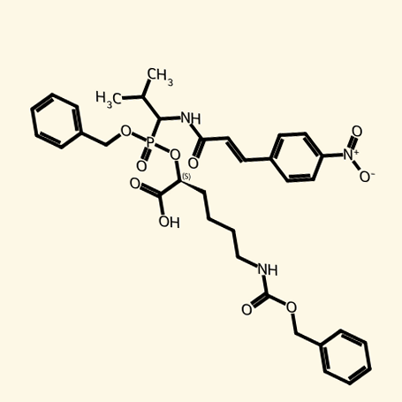 CC(C)C(NC(=O)C=Cc1ccc([N+](=O)[O-])cc1)P(=O)(OCc1ccccc1)O[C@@H](CCCCNC(=O)OCc1ccccc1)C(=O)O